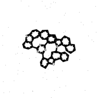 c1ccc(-c2nc(-c3cccc4oc5c6ccccc6c(-n6c7cc8ccccc8cc7c7ccc8ccccc8c76)cc5c34)nc(-c3cccc4sc5ccccc5c34)n2)cc1